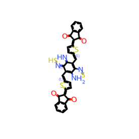 N=C1C(/C=c2\ccc(=C3C(=O)c4ccccc4C3=O)s2)=C(N=S)C(N)=C(/C=c2\ccc(=C3C(=O)c4ccccc4C3=O)s2)/C1=N/S